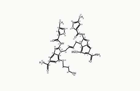 COc1cc(C(N)=O)cc2nc(NC(=O)c3cc(C)no3)n(C/C=C/Cn3c(NC(=O)c4cc(C)no4)nc4cc(C(N)=O)cc(OCCCO)c43)c12